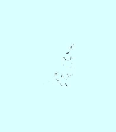 CCNc1cc(F)cc2c1NC(=O)C2(C)N1CC[C@H](O)[C@@H](Nc2ccc(C#N)nc2)C1